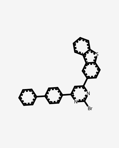 Brc1nc(-c2ccc(-c3ccccc3)cc2)cc(-c2ccc3sc4ccccc4c3c2)n1